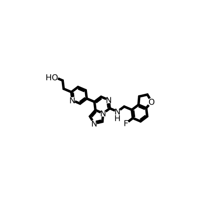 OCCc1ccc(-c2cnc(NCc3c(F)ccc4c3CCO4)n3cncc23)cn1